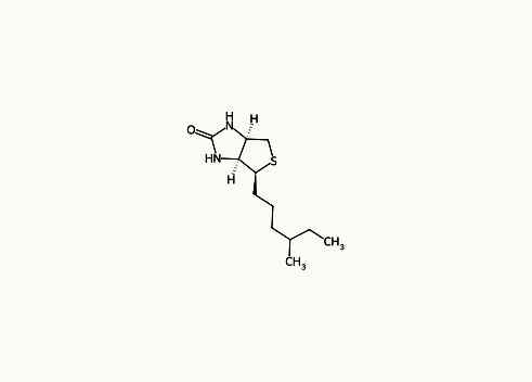 CCC(C)CCC[C@@H]1SC[C@@H]2NC(=O)N[C@@H]21